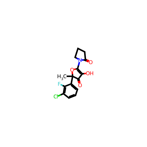 CC1(c2cccc(Cl)c2F)OC(N2CCCC2=O)=C(O)C1=O